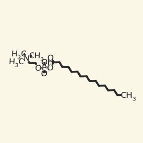 CCCCCCCCCCCCCCCC(=O)OP(=O)(O)OCC[N+](C)(C)C